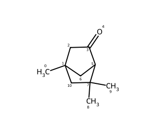 CC12CC(=O)C(C1)C(C)(C)C2